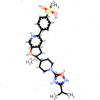 CC(C)c1noc(N2CCC([C@]3(C)Cc4cc(-c5ccc(S(C)(=O)=O)cc5)ncc4O3)CC2)n1